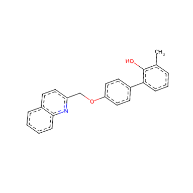 Cc1cccc(-c2ccc(OCc3ccc4ccccc4n3)cc2)c1O